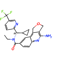 CCN(C(=O)c1ccc2nc(N)c3c(c2c1)COC3)[C@H](c1ccc(C(F)(F)F)cn1)C1CC1